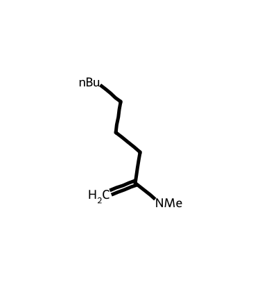 [CH2]CCCCCCC(=C)NC